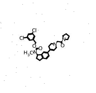 CN(C(=O)OCc1cc(Cl)cc(Cl)c1)C1CCc2ccc(C3=CCN(CC(=O)N4CCCC4)CC3)cc21